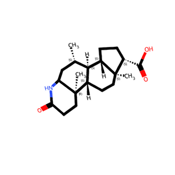 C[C@H]1CC2NC(=O)CC[C@]2(C)[C@H]2CC[C@]3(C)[C@@H](C(=O)O)CC[C@H]3[C@H]12